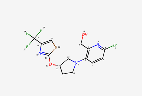 OCc1nc(Br)ccc1N1CC[C@H](Oc2nc(C(F)(F)F)cs2)C1